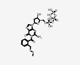 CSSCc1ccccc1C(=O)n1c(N)nc2c(ncn2[C@H]2C[C@@H](O)[C@@H](COP(=O)(O)OP(=O)(O)OP(=O)(O)O)O2)c1=O